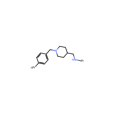 CCCc1ccc(CN2CCC(CNC(C)C)CC2)cc1